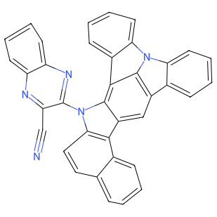 N#Cc1nc2ccccc2nc1-n1c2ccc3ccccc3c2c2cc3c4ccccc4n4c5ccccc5c(c21)c34